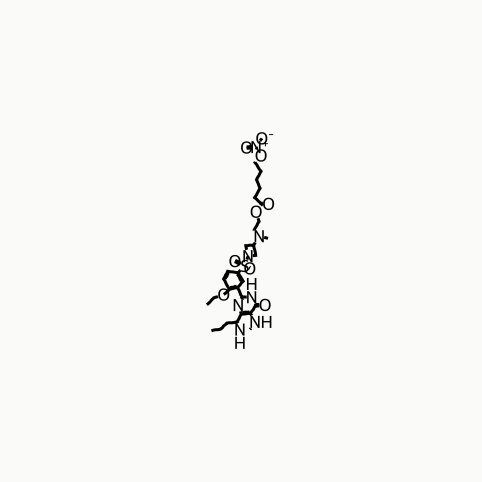 CCCC(=N)c1nc(-c2cc(S(=O)(=O)N3CC(N(C)CCOC(=O)CCCCCO[N+](=O)[O-])C3)ccc2OCC)[nH]c(=O)c1NC